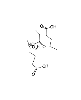 CC(=O)O.CCC(=O)O.CCCC(=O)O.CCCCC(=O)O